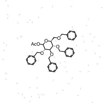 CC(=O)OC1O[C@@H](COCc2ccccc2)[C@H](OCc2ccccc2)[C@@H](OCc2ccccc2)[C@@H]1OCc1ccccc1